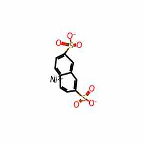 O=S(=O)([O-])c1ccc2ccc(S(=O)(=O)[O-])cc2c1.[Ni+2]